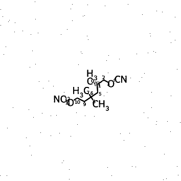 C[C@H](COC#N)CC(C)(C)CCOC#N